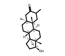 CC1C[C@@]2(C)[C@@H](CC[C@@H]3[C@@H]2CC[C@]2(C)[C@@H](O)CC[C@@H]32)CC1=O